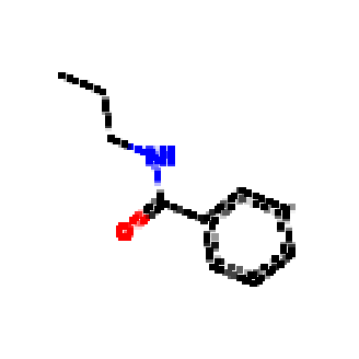 CCCNC(=O)c1c[c][c]cc1